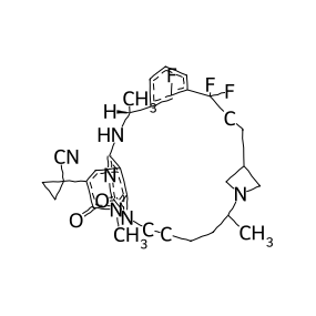 CC1CCCCn2c(=O)nc(c3cc(C4(C#N)CC4)c(=O)n(C)c32)N[C@H](C)c2cccc(c2F)C(F)(F)CCC2CN1C2